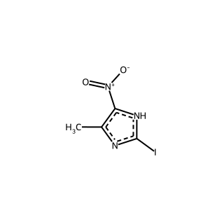 Cc1nc(I)[nH]c1[N+](=O)[O-]